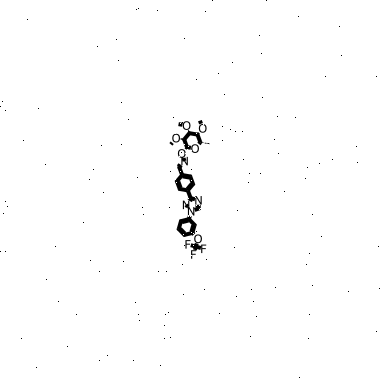 CO[C@@H]1[C@@H](OC)[C@H](C)O[C@@H](O/N=C/c2ccc(-c3ncn(-c4cccc(OC(F)(F)F)c4)n3)cc2)[C@@H]1OC